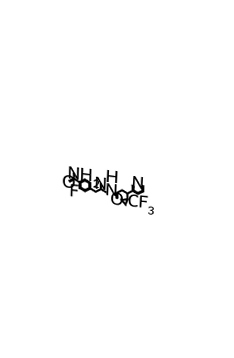 CN(C)C(CNC(=O)CC(c1cccnc1)C1(C(F)(F)F)CC1)Cc1ccc(C(N)=O)c(F)c1